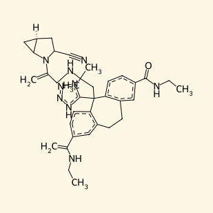 C=C(NCC)c1ccc2c(c1)CCc1cc(C(=O)NCC)ccc1C2(CC(C)(C)NCC(=C)N1C(C#N)C[C@@H]2CC21)c1nnn[nH]1